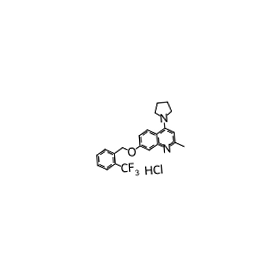 Cc1cc(N2CCCC2)c2ccc(OCc3ccccc3C(F)(F)F)cc2n1.Cl